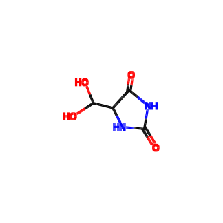 O=C1NC(=O)C(C(O)O)N1